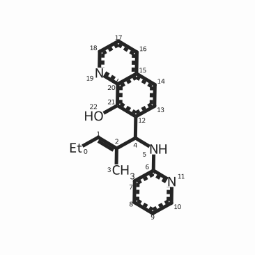 CCC=C(C)C(Nc1ccccn1)c1ccc2cccnc2c1O